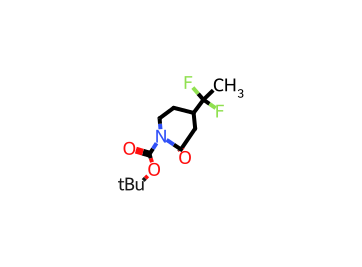 CC(C)(C)OC(=O)N1CCC(C(C)(F)F)CC1=O